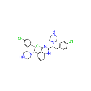 Clc1ccc(CC(c2nc(Cl)c3c(C(Cc4ccc(Cl)cc4)N4CCNCC4)cccc3n2)N2CCNCC2)cc1